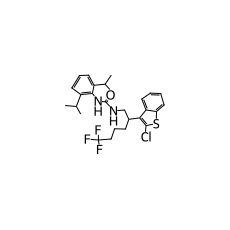 CC(C)c1cccc(C(C)C)c1NC(=O)NCC(CCCC(F)(F)F)c1c(Cl)sc2ccccc12